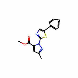 COC(=O)c1cc(C)nn1-c1ncc(-c2ccccc2)s1